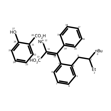 CCCCC(CC)Cc1ccccc1C(=C(C#N)C(=O)O)c1ccccc1.O=C(O)c1ccccc1O